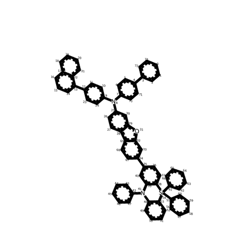 c1ccc(-c2ccc(N(c3ccc(-c4cccc5ccccc45)cc3)c3ccc4c(c3)oc3cc(-c5ccc6c(c5)N(c5ccccc5)c5ccccc5[Si]6(c5ccccc5)c5ccccc5)ccc34)cc2)cc1